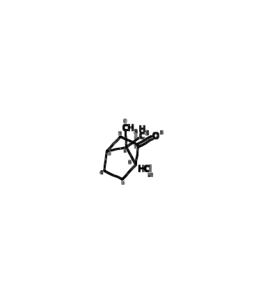 CC1(C)C2CCC1C(=O)C2.Cl